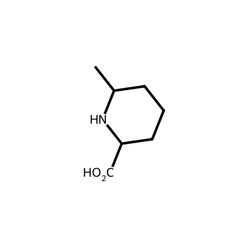 CC1CCCC(C(=O)O)N1